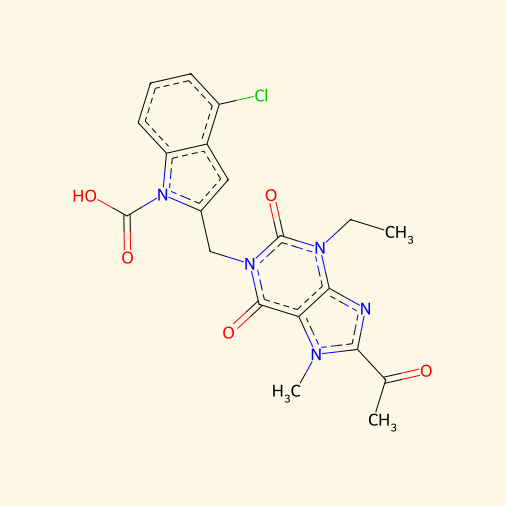 CCn1c(=O)n(Cc2cc3c(Cl)cccc3n2C(=O)O)c(=O)c2c1nc(C(C)=O)n2C